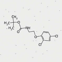 CC(C)(C)OC(=O)NCCOc1ccc(Cl)cc1Cl